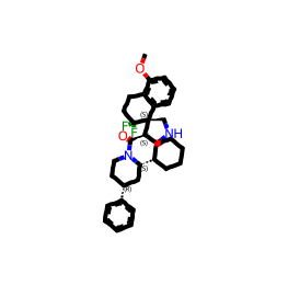 COc1cccc2c1CCC(F)(F)[C@]21CNC[C@H]1C(=O)N1CC[C@@H](c2ccccc2)C[C@H]1C1CCCCC1